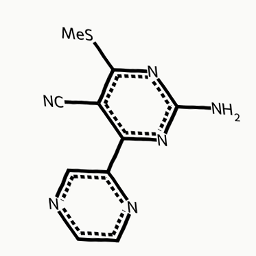 CSc1nc(N)nc(-c2cnccn2)c1C#N